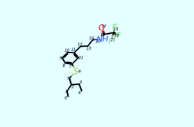 CCC(CC)CSc1cccc(CCCNC(=O)C(F)(F)F)c1